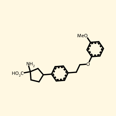 COc1cccc(OCCc2ccc(C3CCC(N)(C(=O)O)C3)cc2)c1